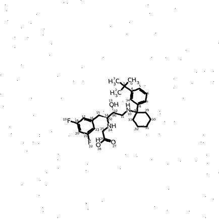 CC(C)(C)c1cccc(C2(NC[C@@H](O)[C@H](Cc3cc(F)cc(F)c3)NCC(=O)O)CCCCC2)c1